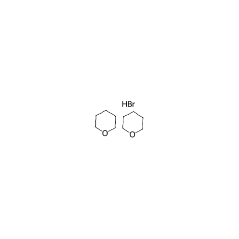 Br.C1CCOCC1.C1CCOCC1